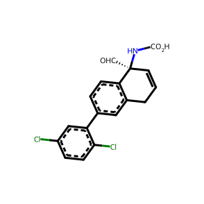 O=C[C@]1(NC(=O)O)C=CCc2cc(-c3cc(Cl)ccc3Cl)ccc21